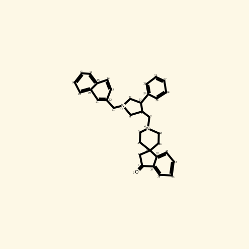 O=C1CC2(CCN(CC3CN(Cc4ccc5ccccc5c4)CC3c3ccccc3)CC2)c2ccccc21